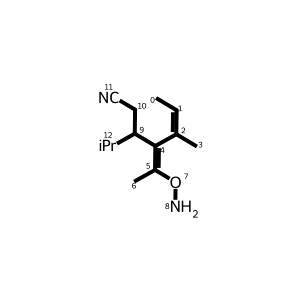 C/C=C(C)\C(=C(\C)ON)C(CC#N)C(C)C